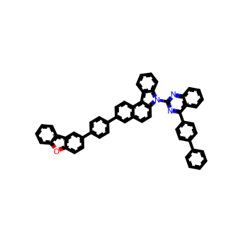 c1ccc(-c2ccc(-c3nc(-n4c5ccccc5c5c6ccc(-c7ccc(-c8ccc9oc%10ccccc%10c9c8)cc7)cc6ccc54)nc4ccccc34)cc2)cc1